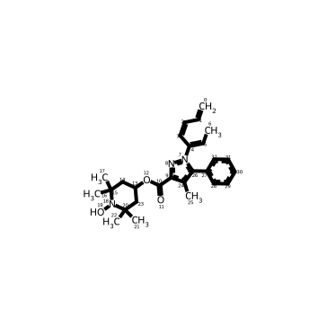 C=C/C=C\C(=C/C)n1nc(C(=O)OC2CC(C)(C)N(O)C(C)(C)C2)c(C)c1-c1ccccc1